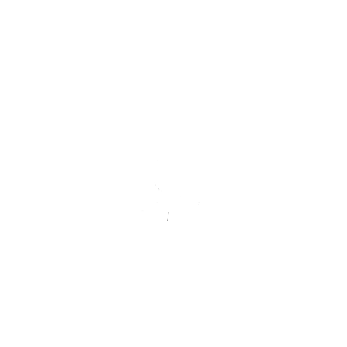 O=Cc1cn(Cc2ccc(F)cc2)c2ncccc12